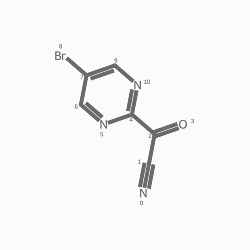 N#CC(=O)c1ncc(Br)cn1